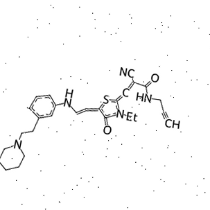 C#CCNC(=O)C(=C=c1sc(=C=CNc2cccc(CCN3CCCCC3)c2)c(=O)n1CC)C#N